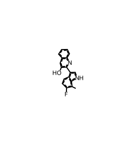 Cc1c(F)ccc2c(-c3nc4ccccc4cc3O)c[nH]c12